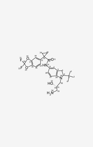 CC(C)(C)C1Cc2cc(NC(=O)C3(c4ccc5c(c4)OC(F)(F)O5)CC3)ccc2N1C[C@@H](O)CN